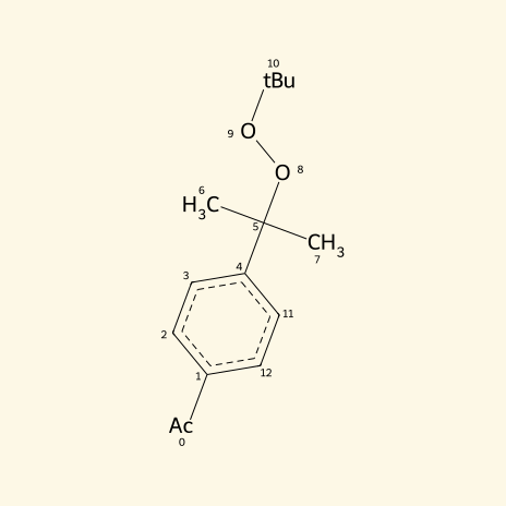 CC(=O)c1ccc(C(C)(C)OOC(C)(C)C)cc1